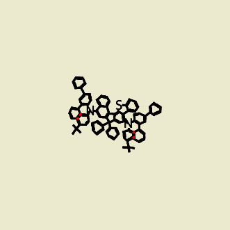 CC(C)(C)c1ccc(N(c2ccc(-c3ccccc3)cc2-c2ccccc2)c2cc3c(c4ccccc24)-c2c(cc(N(c4ccc(C(C)(C)C)cc4)c4ccc(-c5ccccc5)cc4-c4ccccc4)c4c2sc2ccccc24)C3(c2ccccc2)c2ccccc2)cc1